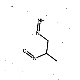 CC(CN=N)N=O